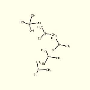 CCN(C)C.CCN(C)C.CCN(C)C.CCN(C)C.O[Si](O)(O)O